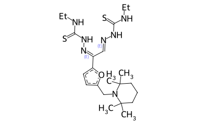 CCNC(=S)N/N=C/C(=N\NC(=S)NCC)c1ccc(CN2C(C)(C)CCCC2(C)C)o1